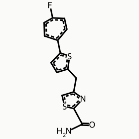 NC(=O)c1nc(Cc2ccc(-c3ccc(F)cc3)s2)cs1